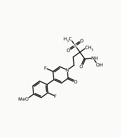 COc1ccc(-c2cc(=O)n(CCC(C)(C(=O)NO)S(C)(=O)=O)cc2F)c(F)c1